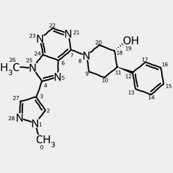 Cn1cc(-c2nc3c(N4CC[C@H](c5ccccc5)[C@@H](O)C4)ncnc3n2C)cn1